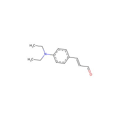 CCN(CC)c1ccc(C=CC=O)cc1